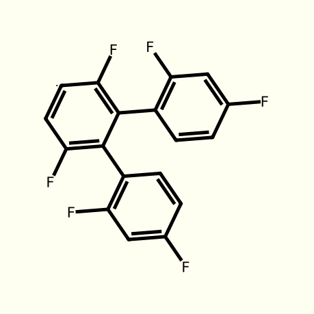 Fc1ccc(-c2c(F)[c]cc(F)c2-c2ccc(F)cc2F)c(F)c1